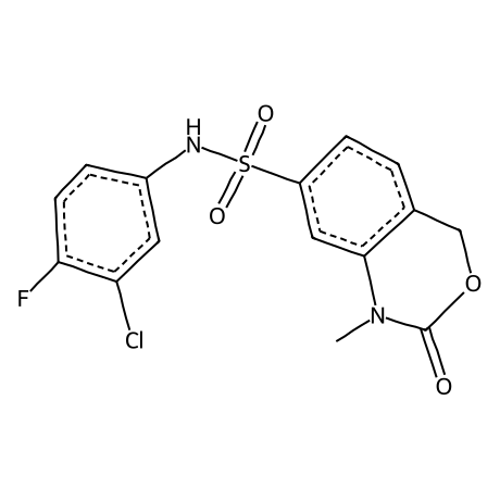 CN1C(=O)OCc2ccc(S(=O)(=O)Nc3ccc(F)c(Cl)c3)cc21